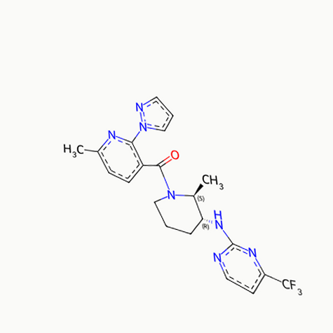 Cc1ccc(C(=O)N2CCC[C@@H](Nc3nccc(C(F)(F)F)n3)[C@@H]2C)c(-n2cccn2)n1